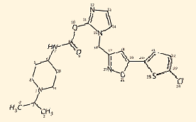 CC(C)N1CCC(NC(=O)Oc2nccn2Cc2cc(-c3ccc(Cl)s3)on2)CC1